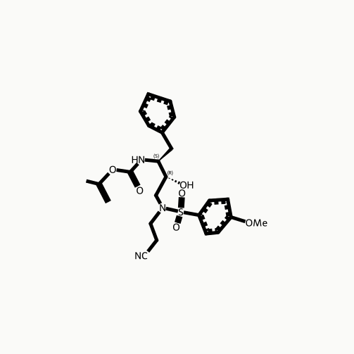 C=C(C)OC(=O)N[C@@H](Cc1ccccc1)[C@H](O)CN(CCC#N)S(=O)(=O)c1ccc(OC)cc1